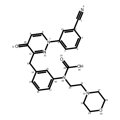 N#Cc1cccc(-n2ccc(=O)c(Cc3cccc(N(CCN4CCOCC4)C(=O)O)c3)n2)c1